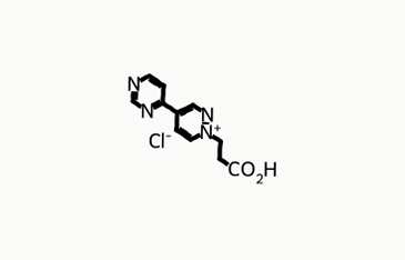 O=C(O)CC[n+]1ccc(-c2ccncn2)cn1.[Cl-]